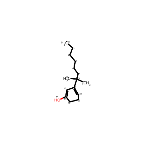 CCCCCCC(C)(C)C1=CC[CH]C(O)=C1